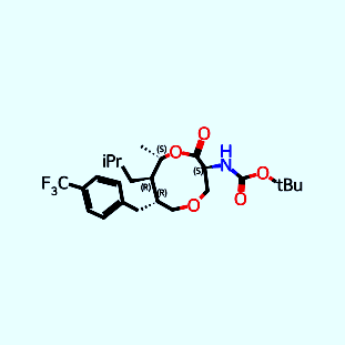 CC(C)C[C@@H]1[C@@H](Cc2ccc(C(F)(F)F)cc2)COC[C@H](NC(=O)OC(C)(C)C)C(=O)O[C@H]1C